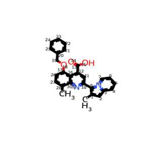 Cc1cc2ccccn2c1-c1cc(C(=O)O)c2c(OCc3ccccc3)ccc(C)c2n1